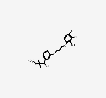 CCCc1c(OCCCOc2cccc(C(O)C(C)(C)CC(=O)O)c2)ccc(C(C)=O)c1O